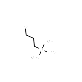 C[O][Zr]([CH2]CCS)([O]C)[O]C